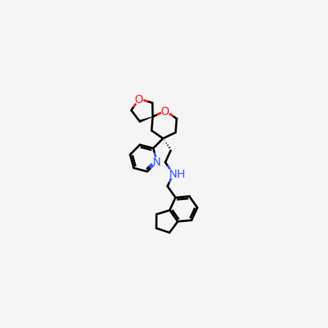 c1ccc([C@]2(CCNCc3cccc4c3CCC4)CCO[C@]3(CCOC3)C2)nc1